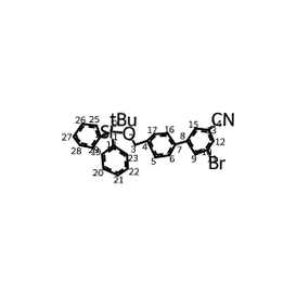 CC(C)(C)[Si](OCc1ccc(-c2cc(Br)cc(C#N)c2)cc1)(c1ccccc1)c1ccccc1